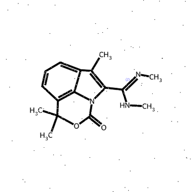 C/N=C(\NC)c1c(C)c2cccc3c2n1C(=O)OC3(C)C